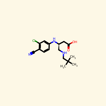 CC(C)(C)CNC[C@H](CC(=O)O)Nc1ccc(C#N)c(Cl)c1